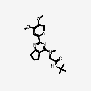 COc1cnc(-c2nc3c(c(N(C)CC(=O)NC(C)(C)C)n2)CCC3)cc1OC